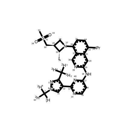 [2H]C([2H])([2H])c1nn(C([2H])([2H])[2H])cc1-c1nccc(Nc2cc3c(C(C)C)ccc(N4C[C@H](CS(C)(=O)=O)[C@H]4C)c3cn2)n1